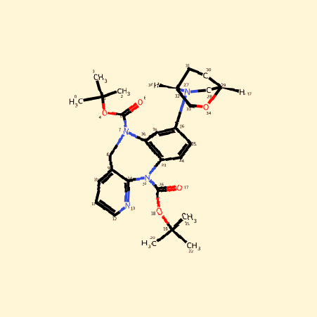 CC(C)(C)OC(=O)N1Cc2cccnc2N(C(=O)OC(C)(C)C)c2ccc(N3C[C@@H]4CC[C@H]3CO4)cc21